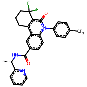 C[C@H](NC(=O)c1ccc2c(c1)c1c(c(=O)n2-c2ccc(C(F)(F)F)cc2)C(F)(F)CCC1)c1ccccn1